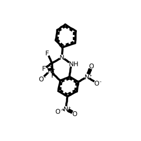 O=[N+]([O-])c1cc([N+](=O)[O-])c(NN(c2ccccc2)C(F)(F)F)c([N+](=O)[O-])c1